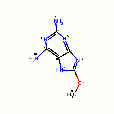 COc1nc2nc(N)nc(N)c2[nH]1